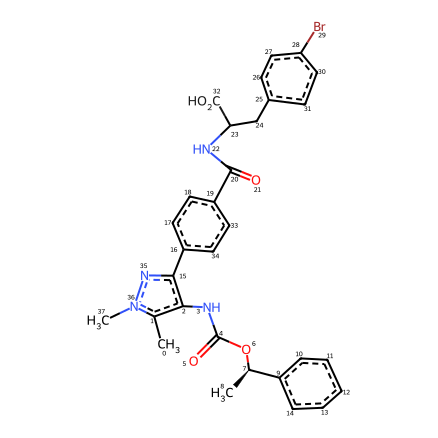 Cc1c(NC(=O)O[C@H](C)c2ccccc2)c(-c2ccc(C(=O)NC(Cc3ccc(Br)cc3)C(=O)O)cc2)nn1C